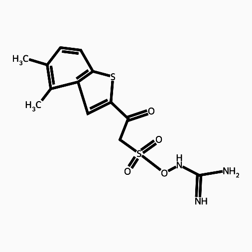 Cc1ccc2sc(C(=O)CS(=O)(=O)ONC(=N)N)cc2c1C